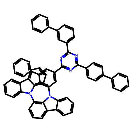 c1ccc(-c2ccc(-c3nc(-c4cccc(-c5ccccc5)c4)nc(-c4cc(-c5ccccc5)cc(-n5c6ccccc6c6cccc(-n7c8ccccc8c8ccccc87)c65)c4)n3)cc2)cc1